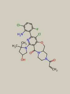 C=CC(=O)N1CCN2C(=O)c3c(N4CC(O)CC4(C)C)nc(-c4c(F)ccc(Cl)c4N)c(Cl)c3OCC2C1